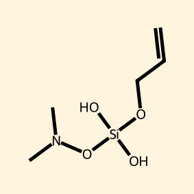 C=CCO[Si](O)(O)ON(C)C